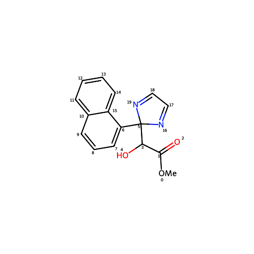 COC(=O)C(O)C1(c2cccc3ccccc23)N=CC=N1